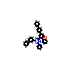 C1=C(c2nc(-c3ccccc3)nc(-c3cc(-c4ccc(-c5ccccc5)cc4)cc4oc5ccccc5c34)n2)CCc2oc3ccccc3c21